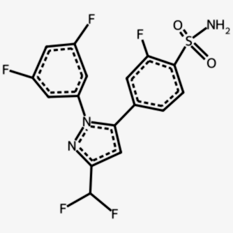 NS(=O)(=O)c1ccc(-c2cc(C(F)F)nn2-c2cc(F)cc(F)c2)cc1F